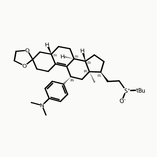 CN(C)c1ccc([C@H]2C[C@]3(C)[C@H](CC[S+]([O-])C(C)(C)C)CC[C@H]3[C@@H]3CC[C@H]4CC5(CCC4=C32)OCCO5)cc1